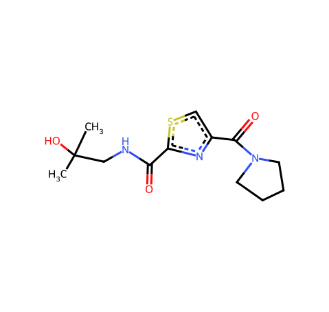 CC(C)(O)CNC(=O)c1nc(C(=O)N2CCCC2)cs1